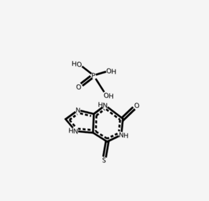 O=P(O)(O)O.O=c1[nH]c(=S)c2[nH]cnc2[nH]1